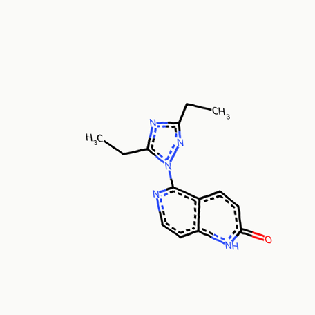 CCc1nc(CC)n(-c2nccc3[nH]c(=O)ccc23)n1